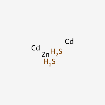 S.S.[Cd].[Cd].[Zn]